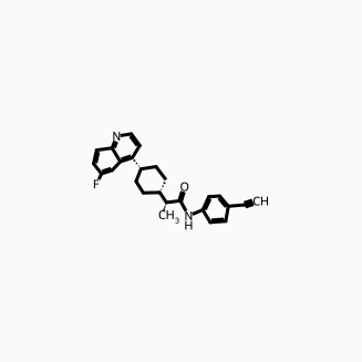 C#Cc1ccc(NC(=O)[C@H](C)[C@H]2CC[C@@H](c3ccnc4ccc(F)cc43)CC2)cc1